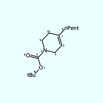 CCCCCC1=CCN(C(=O)OC(C)(C)C)CC1